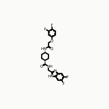 O=C(COc1ccc(F)c(F)c1)N[C@H]1CC[C@H](C(=O)NCc2nc3cc(F)c(F)cc3[nH]2)CC1